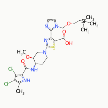 CO[C@H]1CN(c2nc(-c3nccn3COCC[Si](C)(C)C)c(C(=O)O)s2)CC[C@H]1NC(=O)c1[nH]c(C)c(Cl)c1Cl